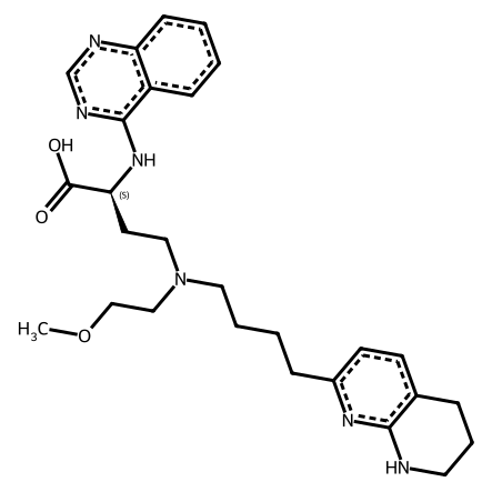 COCCN(CCCCc1ccc2c(n1)NCCC2)CC[C@H](Nc1ncnc2ccccc12)C(=O)O